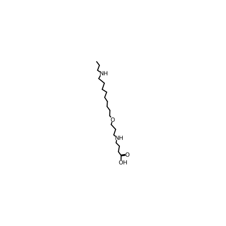 CCCNCCCCCCCCCOCCCNCCCC(=O)O